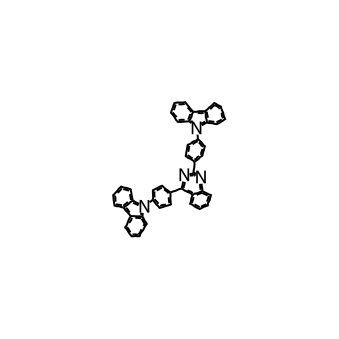 c1ccc2c(-c3ccc(-n4c5ccccc5c5ccccc54)cc3)nc(-c3ccc(-n4c5ccccc5c5ccccc54)cc3)nc2c1